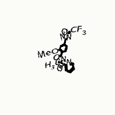 COc1cc(-c2noc(C(F)(F)F)n2)ccc1C(=O)N=S(C)(=O)c1ccccn1